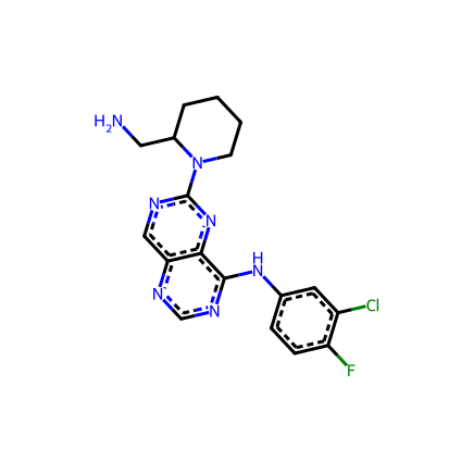 NCC1CCCCN1c1ncc2ncnc(Nc3ccc(F)c(Cl)c3)c2n1